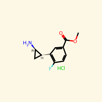 COC(=O)c1ccc(F)c([C@@H]2C[C@H]2N)c1.Cl